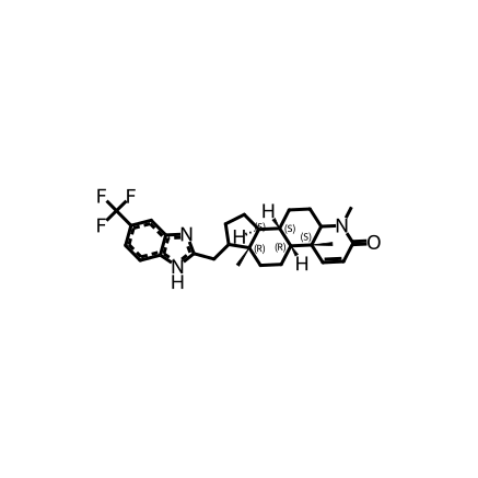 CN1C(=O)C=C[C@@]2(C)C1CC[C@@H]1[C@H]2CC[C@]2(C)C(Cc3nc4cc(C(F)(F)F)ccc4[nH]3)CC[C@@H]12